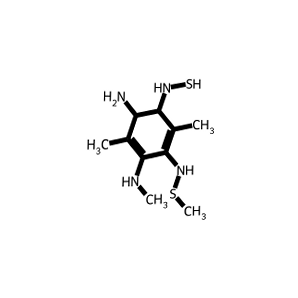 CNC1=C(C)C(N)C(NS)C(C)=C1NSC